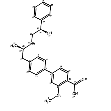 COc1cc(-c2ccc(C[C@@H](C)NC[C@H](O)c3ccccc3)cc2)ccc1C(=O)O